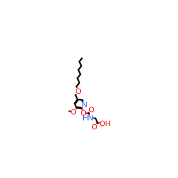 CCCCCCCCOCc1cnc(OC(=O)NCC(=O)O)c(OC)c1